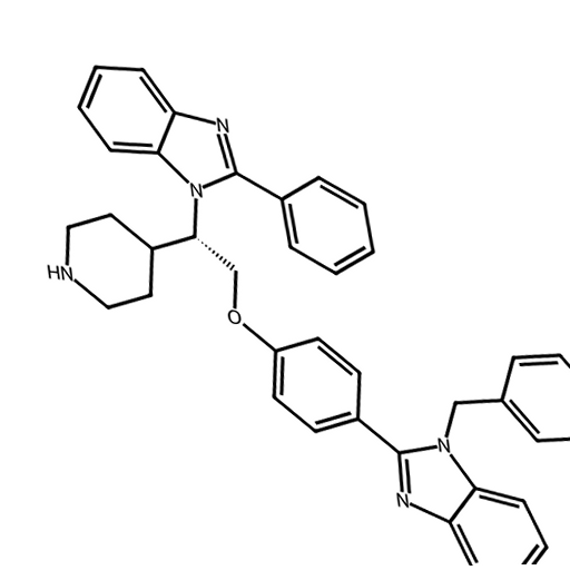 c1ccc(Cn2c(-c3ccc(OC[C@H](C4CCNCC4)n4c(-c5ccccc5)nc5ccccc54)cc3)nc3ccccc32)cc1